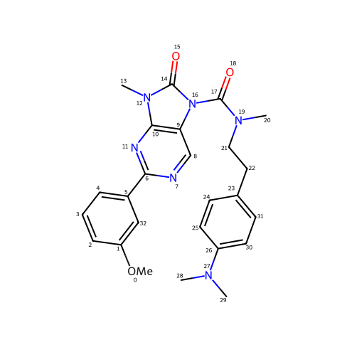 COc1cccc(-c2ncc3c(n2)n(C)c(=O)n3C(=O)N(C)CCc2ccc(N(C)C)cc2)c1